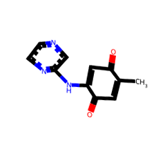 CC1=CC(=O)C(Nc2cnccn2)=CC1=O